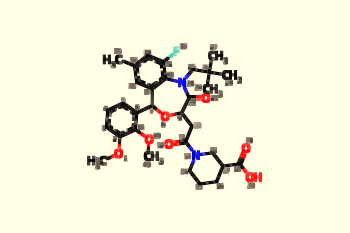 COc1cccc(C2OC(CC(=O)N3CCCC(C(=O)O)C3)C(=O)N(CC(C)(C)C)c3c(F)cc(C)cc32)c1OC